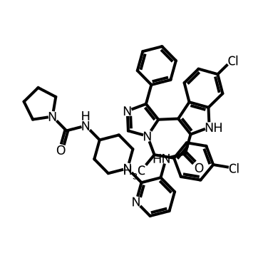 CC(c1ccc(Cl)cc1)n1cnc(-c2ccccc2)c1-c1c(C(=O)Nc2cccnc2N2CCC(NC(=O)N3CCCC3)CC2)[nH]c2cc(Cl)ccc12